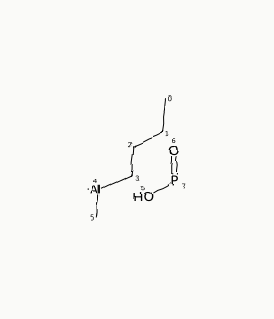 CCC[CH2][Al][CH3].O=PO